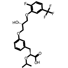 CC(C)O[C@@H](Cc1cccc(OC[C@H](O)COc2cc(C(F)(F)F)ccc2F)c1)C(=O)O